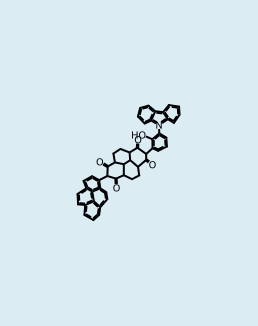 O=C1C(c2cccc(-n3c4ccccc4c4ccccc43)c2O)C(=O)C2CCC3C(=O)C(c4ccc5ccc6cccc7ccc4c5c67)C(=O)C4CCC1C2C43